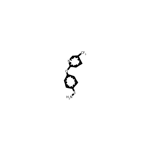 NSc1ccc(Oc2ccc(C(F)(F)F)cn2)cc1